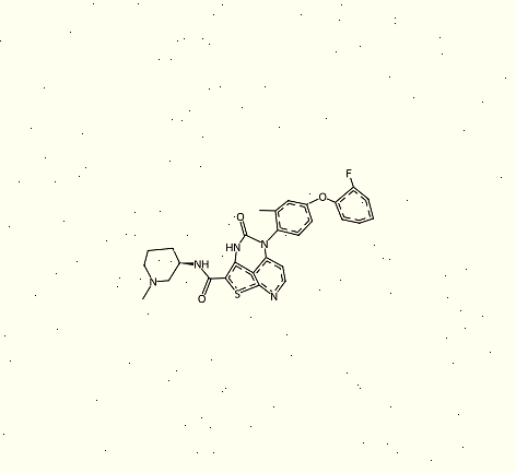 Cc1cc(Oc2ccccc2F)ccc1N1C(=O)Nc2c(C(=O)N[C@@H]3CCCN(C)C3)sc3nccc1c23